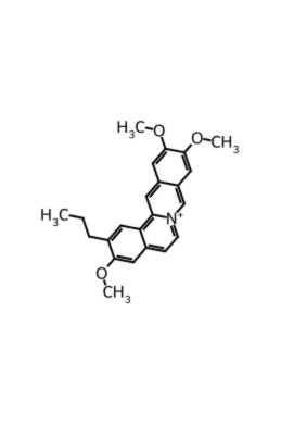 CCCc1cc2c(cc[n+]3cc4cc(OC)c(OC)cc4cc23)cc1OC